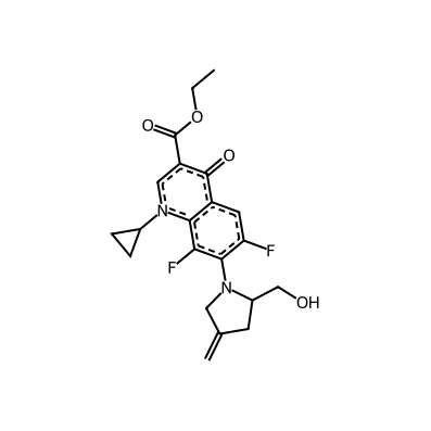 C=C1CC(CO)N(c2c(F)cc3c(=O)c(C(=O)OCC)cn(C4CC4)c3c2F)C1